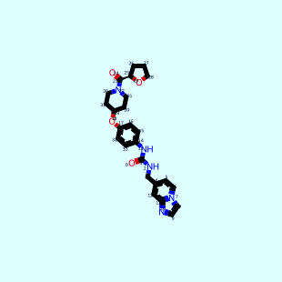 O=C(NCc1ccn2ccnc2c1)Nc1ccc(OC2CCN(C(=O)[C@H]3CCCO3)CC2)cc1